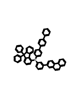 c1ccc(-c2ccc(-c3ccc(N(c4cccc(-c5ccc6c(ccc7ccccc76)c5)c4)c4cccc5c4-c4ccccc4C5(c4ccccc4)c4ccccc4)cc3)cc2)cc1